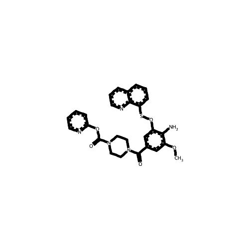 COc1cc(C(=O)N2CCN(C(=O)Oc3ccccn3)CC2)cc(OSc2cccc3cccnc23)c1N